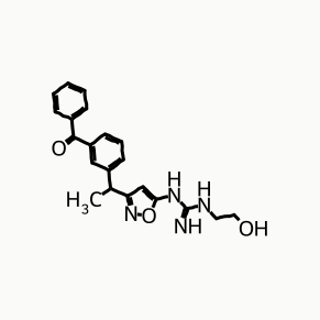 CC(c1cccc(C(=O)c2ccccc2)c1)c1cc(NC(=N)NCCO)on1